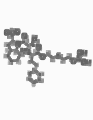 CC(NC(CCc1ccccc1)C(=O)OCCSCCON(O)O)C(=O)N1C(C(=O)O)CC2CCCCC21